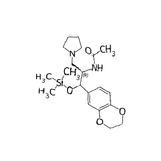 CC(=O)N[C@H](CN1CCCC1)C(O[Si](C)(C)C)c1ccc2c(c1)OCCO2